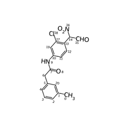 Cc1cccc(CC(=O)Nc2ccc(C(C=O)[N+](=O)[O-])c(Cl)c2)c1